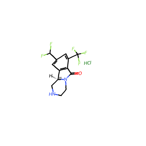 Cl.O=C1c2c(cc(C(F)F)cc2C(F)(F)F)[C@@H]2CNCCN12